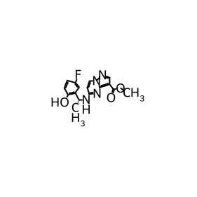 COC(=O)c1cnn2ccc(N[C@H](C)c3cc(F)ccc3O)nc12